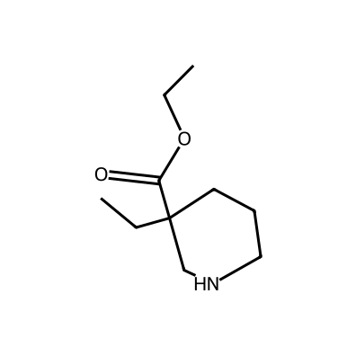 CCOC(=O)C1(CC)CCCNC1